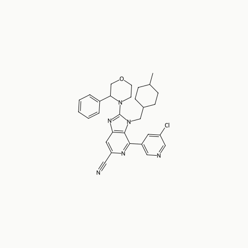 CC1CCC(Cn2c(N3CCOCC3c3ccccc3)nc3cc(C#N)nc(-c4cncc(Cl)c4)c32)CC1